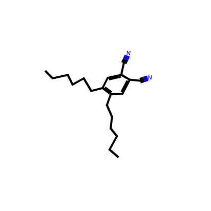 CCCCCCc1cc(C#N)c(C#N)cc1CCCCCC